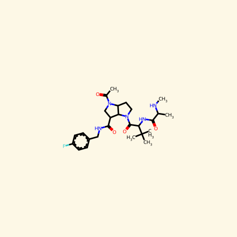 CNC(C)C(=O)NC(C(=O)N1CCC2C1C(C(=O)NCc1ccc(F)cc1)CN2C(C)=O)C(C)(C)C